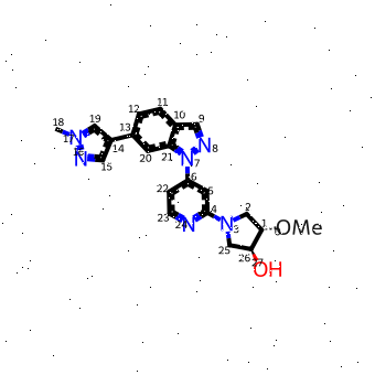 CO[C@H]1CN(c2cc(-n3ncc4ccc(-c5cnn(C)c5)cc43)ccn2)C[C@@H]1O